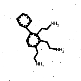 NCCc1ccc(-c2ccccc2)c(CCN)c1CCN